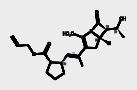 C=CCOC(=O)N1CCC[C@H]1/C=C(\C)C1=C(C(=O)O)N2C(=O)[C@H]([C@@H](C)O)[C@H]2C1